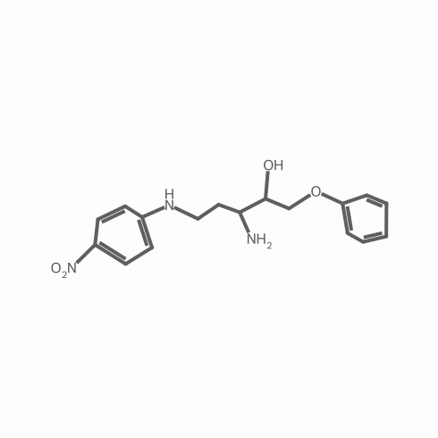 NC(CCNc1ccc([N+](=O)[O-])cc1)C(O)COc1ccccc1